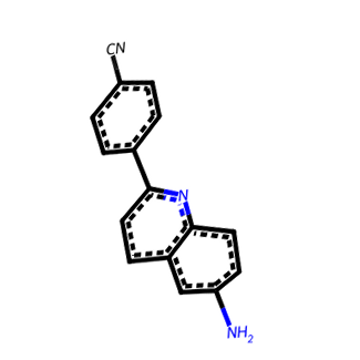 N#Cc1ccc(-c2ccc3cc(N)ccc3n2)cc1